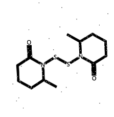 CC1CCCC(=O)N1SSN1C(=O)CCCC1C